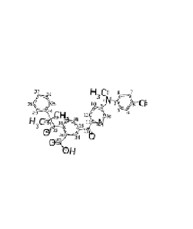 CN(c1ccc(Cl)cc1)c1ccc(C(=O)c2ccc(C(=O)C(C)(C)c3ccccc3)c(C(=O)O)c2)nc1